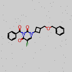 O=C(c1ccccc1)n1c(=O)c(F)cn(C2CC(COCc3ccccc3)C2)c1=O